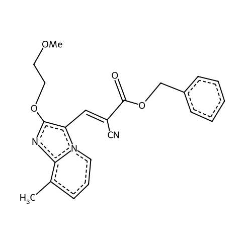 COCCOc1nc2c(C)cccn2c1C=C(C#N)C(=O)OCc1ccccc1